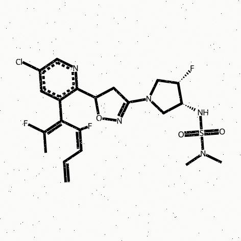 C=C/C=C(F)\C(=C(/C)F)c1cc(Cl)cnc1C1CC(N2C[C@H](F)[C@H](NS(=O)(=O)N(C)C)C2)=NO1